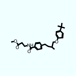 COC(=O)CCNC(=O)c1ccc(CCC(C)COc2ccc(C(C)(C)C)cc2)cc1